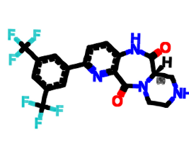 O=C1Nc2ccc(-c3cc(C(F)(F)F)cc(C(F)(F)F)c3)nc2C(=O)N2CCNC[C@@H]12